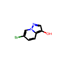 Oc1cnn2cc(Br)ccc12